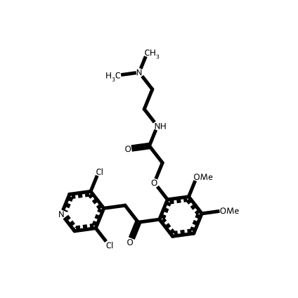 COc1ccc(C(=O)Cc2c(Cl)cncc2Cl)c(OCC(=O)NCCN(C)C)c1OC